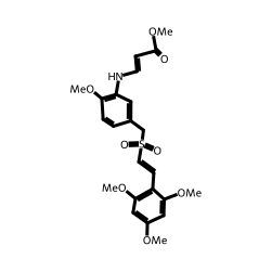 COC(=O)/C=C/Nc1cc(CS(=O)(=O)/C=C/c2c(OC)cc(OC)cc2OC)ccc1OC